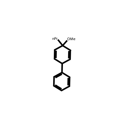 CCCC1(OC)[C]=CC(c2ccccc2)C=C1